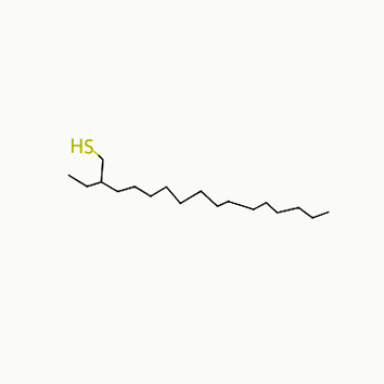 CCCCCCCCCCCCCCC(CC)CS